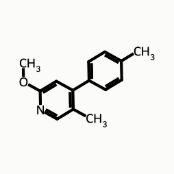 COc1cc(-c2ccc(C)cc2)c(C)cn1